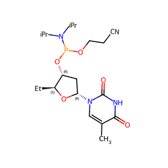 CC[C@@H]1O[C@@H](n2cc(C)c(=O)[nH]c2=O)C[C@H]1OP(OCCC#N)N(C(C)C)C(C)C